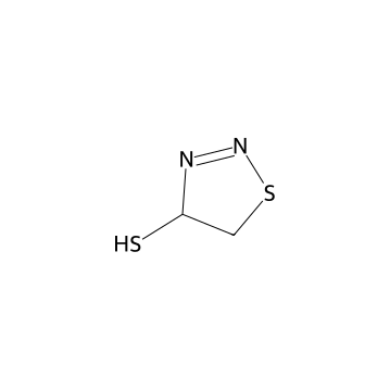 SC1CSN=N1